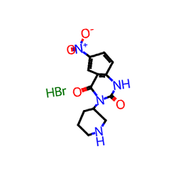 Br.O=c1[nH]c2ccc([N+](=O)[O-])cc2c(=O)n1C1CCCNC1